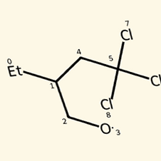 CCC(C[O])CC(Cl)(Cl)Cl